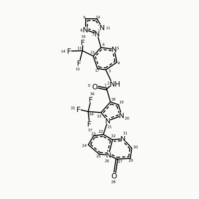 O=C(Nc1cnc(-n2nccn2)c(C(F)(F)F)c1)c1cnn(-c2cccn3c(=O)ccnc23)c1C(F)(F)F